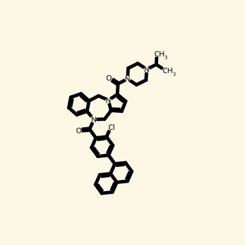 CC(C)N1CCN(C(=O)c2ccc3n2Cc2ccccc2N(C(=O)c2ccc(-c4cccc5ccccc45)cc2Cl)C3)CC1